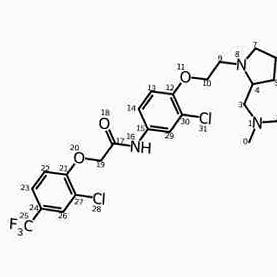 CN(C)CC1CCCN1CCOc1ccc(NC(=O)COc2ccc(C(F)(F)F)cc2Cl)cc1Cl